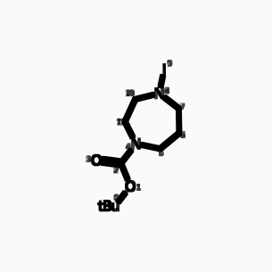 CC(C)(C)OC(=O)N1CCCN(I)CC1